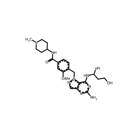 CCCC(CCO)Nc1nc(N)nc2cnn(Cc3ccc(C(=O)NC4CCN(C)CC4)cc3OC)c12